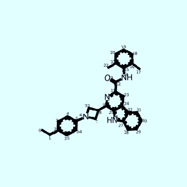 CCc1ccc(N2CC(c3nc(C(=O)Nc4c(C)cccc4C)cc4c3[nH]c3ccccc34)C2)cc1